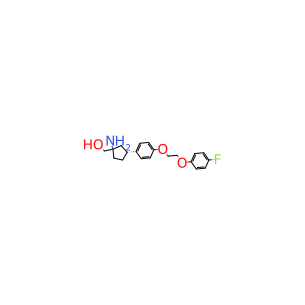 N[C@]1(CO)CC[C@@H](c2ccc(OCCOc3ccc(F)cc3)cc2)C1